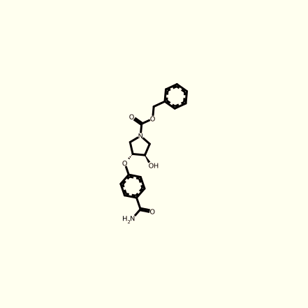 NC(=O)c1ccc(O[C@@H]2CN(C(=O)OCc3ccccc3)C[C@H]2O)cc1